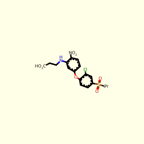 CC(C)S(=O)(=O)c1ccc(Oc2ccc([N+](=O)[O-])c(NCCC(=O)O)c2)c(Cl)c1